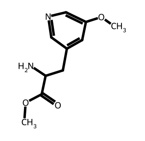 COC(=O)C(N)Cc1cncc(OC)c1